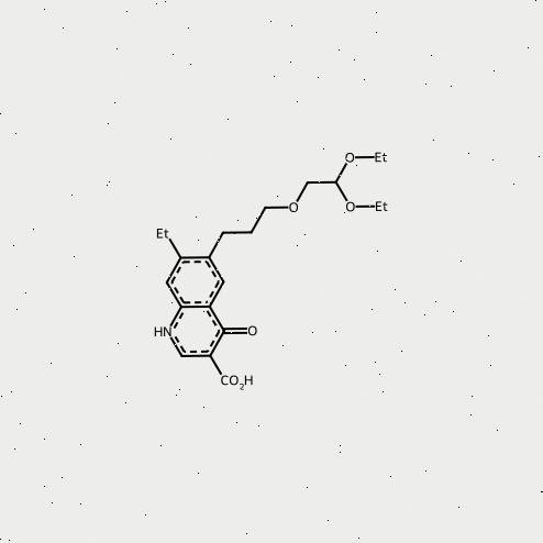 CCOC(COCCCc1cc2c(=O)c(C(=O)O)c[nH]c2cc1CC)OCC